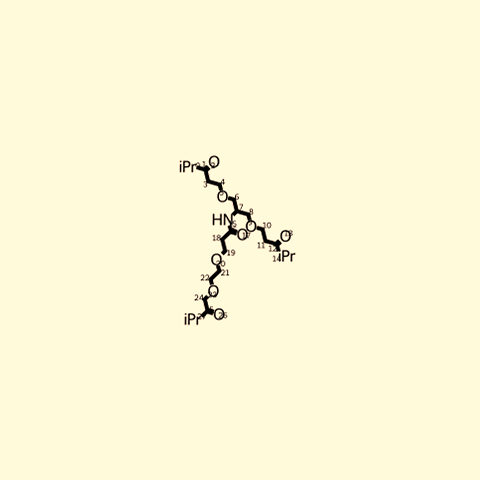 CC(C)C(=O)CCOCC(COCCC(=O)C(C)C)NC(=O)CCOCCOCC(=O)C(C)C